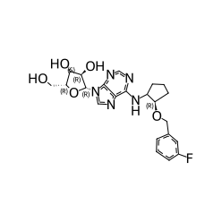 OC[C@H]1O[C@@H](n2cnc3c(NC4CCC[C@H]4OCc4cccc(F)c4)ncnc32)[C@H](O)[C@@H]1O